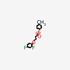 Cc1ccc(SOC(=O)CCCOc2ccc(F)cc2F)cc1